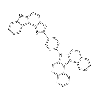 c1ccc2c(c1)ccc1c2c2c3ccccc3ccc2n1-c1ccc(-c2nc3ccc4oc5ccccc5c4c3s2)cc1